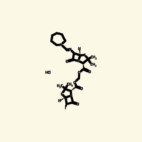 CC1(C)S[C@@H]2C(/N=C/N3CCCCCC3)C(=O)N2[C@H]1C(=O)OCOC(=O)[C@@H]1N2C(=O)[C@@H](I)[C@H]2SC1(C)C.Cl